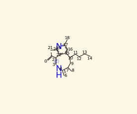 C=C/C1=C/NC(C)C(C)CC(CCCC)c2cc(C)nc(C)c21